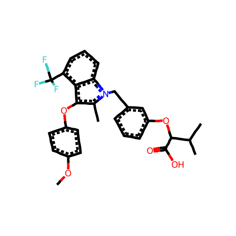 COc1ccc(Oc2c(C)n(Cc3cccc(OC(C(=O)O)C(C)C)c3)c3cccc(C(F)(F)F)c23)cc1